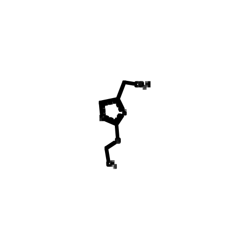 O=C(O)Cc1cnc(OCC(F)(F)F)s1